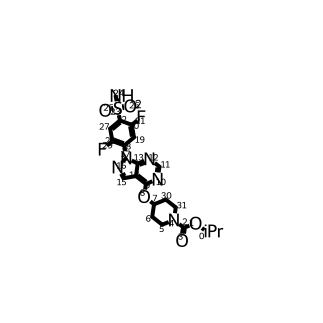 CC(C)OC(=O)N1CCC(Oc2ncnc3c2cnn3-c2cc(F)c(S(N)(=O)=O)cc2F)CC1